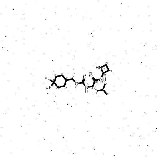 CC(C)C[C@H](NC(=O)OCC1CCC(F)(F)CC1)C(=O)NC1CCN1